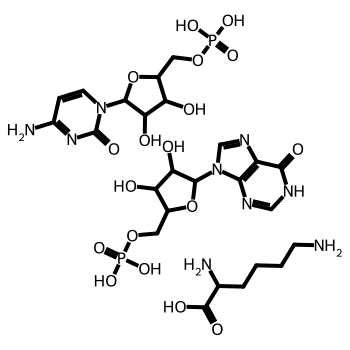 NCCCCC(N)C(=O)O.Nc1ccn(C2OC(COP(=O)(O)O)C(O)C2O)c(=O)n1.O=c1[nH]cnc2c1ncn2C1OC(COP(=O)(O)O)C(O)C1O